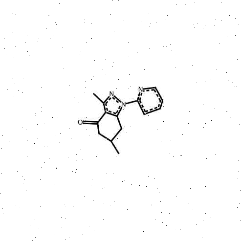 Cc1nn(-c2ccccn2)c2c1C(=O)CC(C)C2